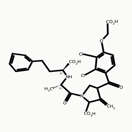 C=C1C(C(=O)c2ccc(OCC(=O)O)c(Cl)c2Cl)CN(C(=O)[C@H](C)N[C@@H](CCc2ccccc2)C(=O)O)C1C(=O)O